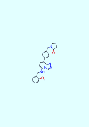 COc1ccccc1CNc1ccc(-c2ccc(CN3CCCC3=O)cc2)c2nncn12